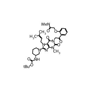 CNC(=O)COc1ccccc1C(=O)Cn1c(=O)c2c(nc(N3CCC[C@H](NC(=O)OC(C)(C)C)C3)n2CC=C(C)C)n(C)c1=O